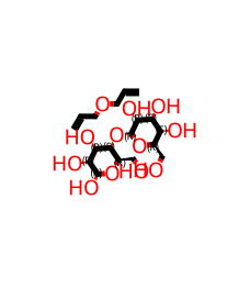 C=CCOCC=C.OC[C@H]1O[C@H](O[C@H]2[C@H](O)[C@@H](O)[C@H](O)O[C@@H]2CO)[C@H](O)[C@@H](O)[C@@H]1O